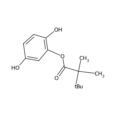 CC(C)(C)C(C)(C)C(=O)Oc1cc(O)ccc1O